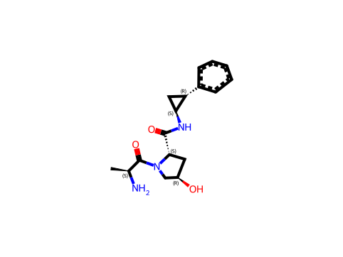 C[C@H](N)C(=O)N1C[C@H](O)C[C@H]1C(=O)N[C@H]1C[C@@H]1c1ccccc1